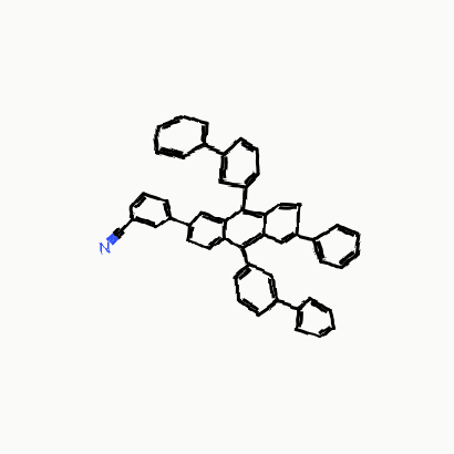 N#Cc1cccc(-c2ccc3c(-c4cccc(-c5ccccc5)c4)c4cc(-c5ccccc5)ccc4c(-c4cccc(-c5ccccc5)c4)c3c2)c1